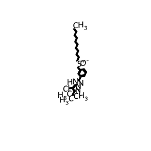 CCCCCCCCCCCC[S+]([O-])Cc1cccc(-c2nn3nc(C(C)(C)C)c(Cl)c3[nH]2)c1